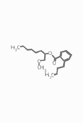 CCCCCCC(COC)OC(=O)c1ccccc1CCCC